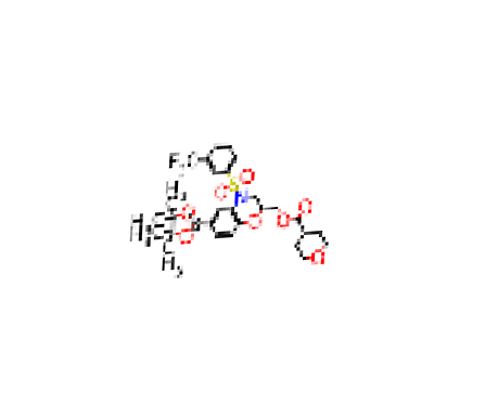 CC1(C)OB(c2ccc3c(c2)N(S(=O)(=O)c2cccc(C(F)(F)F)c2)C[C@@H](COC(=O)C2CCOCC2)O3)OC1(C)C